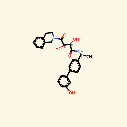 C[C@H](NC(=O)[C@H](O)[C@@H](O)C(=O)N1CCc2ccccc2C1)c1ccc(-c2cccc(O)c2)cc1